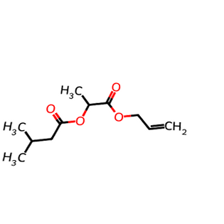 C=CCOC(=O)C(C)OC(=O)CC(C)C